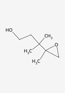 CC(C)(CCO)C1(C)CO1